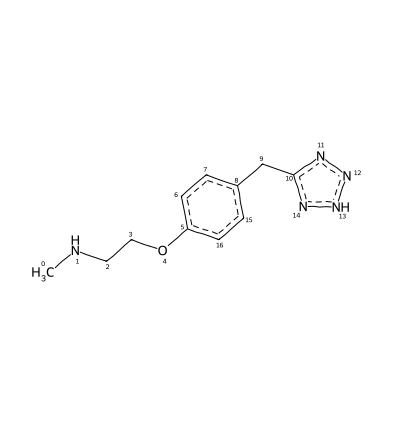 CNCCOc1ccc(Cc2nn[nH]n2)cc1